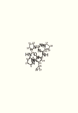 O=C(Nc1cccnc1)[C@@H]1CCCN1C1=NN2CCC=C2C(Nc2cc(C3CC3)[nH]n2)=N1